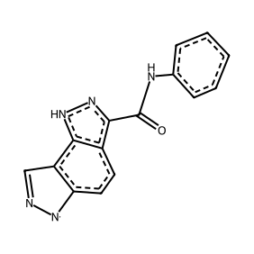 O=C(Nc1ccccc1)c1n[nH]c2c3c(ccc12)[N]N=C3